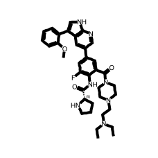 CCN(CC)CCN1CCN(C(=O)c2cc(-c3cnc4[nH]cc(-c5ccccc5OC)c4c3)cc(F)c2NC(=O)[C@@H]2CCCN2)CC1